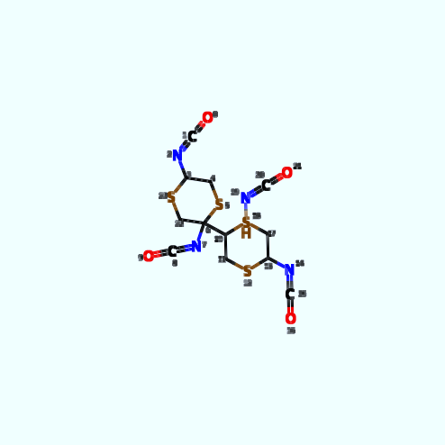 O=C=NC1CSC(N=C=O)(C2CSC(N=C=O)C[SH]2N=C=O)CS1